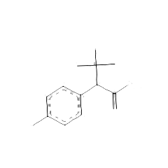 CC(C)(Cl)C(C(N)=O)c1ccc(Cl)cc1